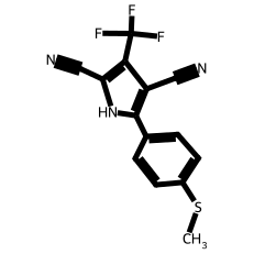 CSc1ccc(-c2[nH]c(C#N)c(C(F)(F)F)c2C#N)cc1